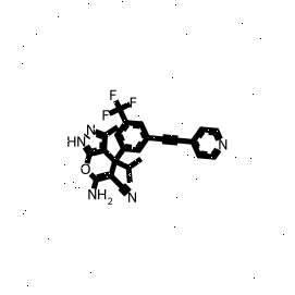 Cc1n[nH]c2c1C(c1cc(C#Cc3ccncc3)cc(C(F)(F)F)c1)(C(C)C)C(C#N)=C(N)O2